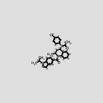 CC(=O)N(c1ccc(Cl)cc1)C1CC(C)N(C(=O)c2ccc3c(cnn3C(C)C)c2)c2ccccc21